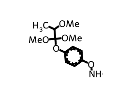 COC(C)C(OC)(OC)Oc1ccc(O[NH])cc1